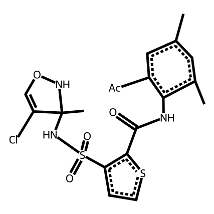 CC(=O)c1cc(C)cc(C)c1NC(=O)c1sccc1S(=O)(=O)NC1(C)NOC=C1Cl